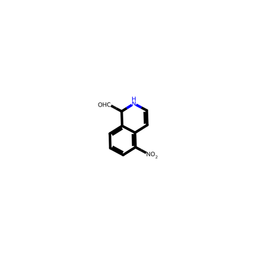 O=CC1NC=Cc2c1cccc2[N+](=O)[O-]